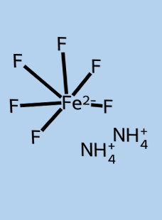 [F][Fe-2]([F])([F])([F])([F])[F].[NH4+].[NH4+]